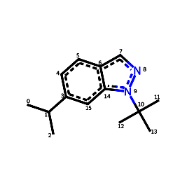 CC(C)c1ccc2cnn(C(C)(C)C)c2c1